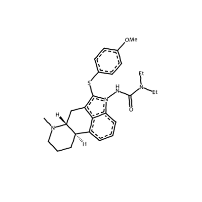 CCN(CC)C(=O)Nn1c(Sc2ccc(OC)cc2)c2c3c(cccc31)[C@H]1CCCN(C)[C@@H]1C2